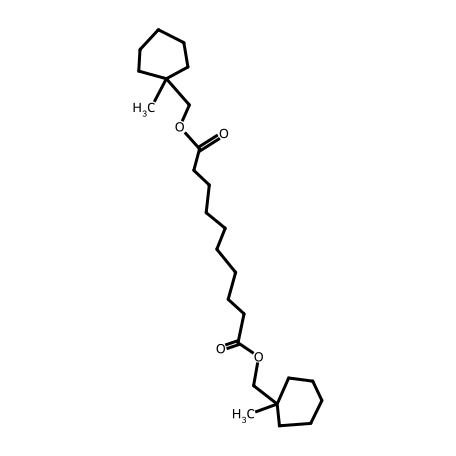 CC1(COC(=O)CCCCCCCCC(=O)OCC2(C)CCCCC2)CCCCC1